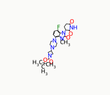 Cn1c(=O)n(C2CCC(=O)NC2=O)c2c(F)ccc(N3CCN(C4CN(C(=O)OC(C)(C)C)C4)CC3)c21